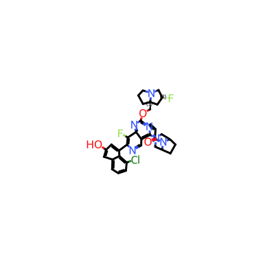 C=CC(=O)N1C2CCC1CN(c1nc(OC[C@@]34CCCN3C[C@H](F)C4)nc3c(F)c(-c4cc(O)cc5cccc(Cl)c45)ncc13)C2